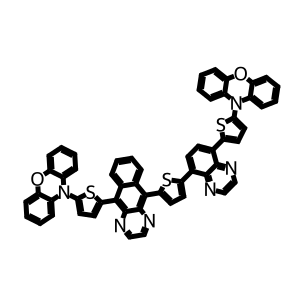 c1ccc2c(c1)Oc1ccccc1N2c1ccc(-c2ccc(-c3ccc(-c4c5ccccc5c(-c5ccc(N6c7ccccc7Oc7ccccc76)s5)c5nccnc45)s3)c3nccnc23)s1